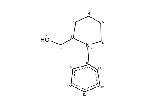 OCC1CCCCN1c1ccccc1